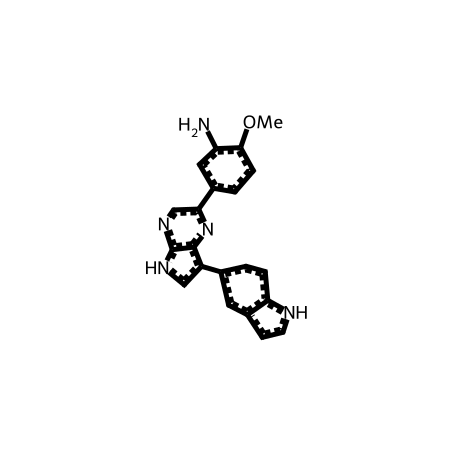 COc1ccc(-c2cnc3[nH]cc(-c4ccc5[nH]ccc5c4)c3n2)cc1N